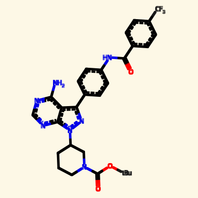 CC(C)(C)OC(=O)N1CCCC(n2nc(-c3ccc(NC(=O)c4ccc(C(F)(F)F)cc4)cc3)c3c(N)ncnc32)C1